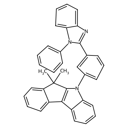 CC1(C)c2ccccc2-c2c1n(-c1cccc(-c3nc4ccccc4n3-c3ccccc3)c1)c1ccccc21